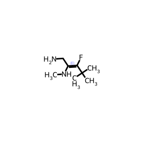 CN/C(CN)=C(/F)C(C)(C)C